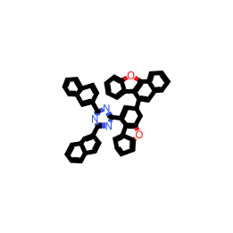 C1=CC2C=CC(c3nc(C4=CC(c5cc6ccccc6c6oc7ccccc7c56)Cc5oc6ccccc6c54)nc(-c4ccc5ccccc5c4)n3)=CC2C=C1